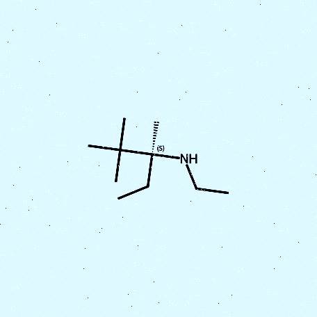 CCN[C@@](C)(CC)C(C)(C)C